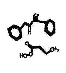 CCCC(=O)OO.O=C(NCc1ccccc1)c1ccccc1